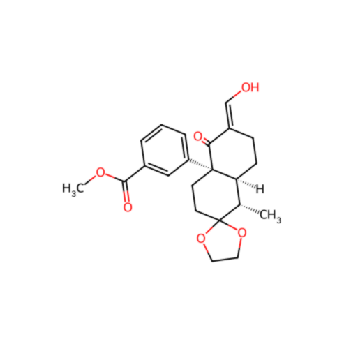 COC(=O)c1cccc([C@@]23CCC4(OCCO4)[C@@H](C)[C@@H]2CCC(=CO)C3=O)c1